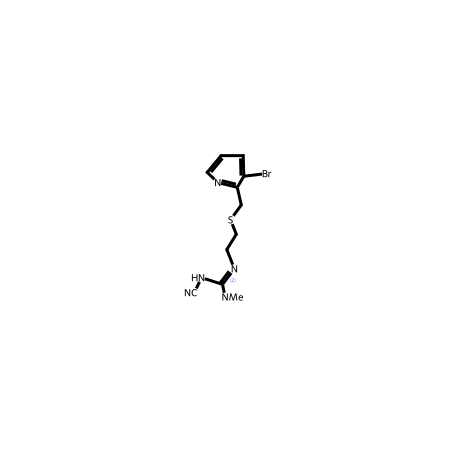 CN/C(=N/CCSCc1ncccc1Br)NC#N